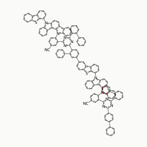 N#Cc1ccc(-n2c3ccccc3c3ccc4c(c5ccccc5n4-c4cccc5c4sc4ccc(-c6ccc(-c7nc(-c8ccccc8-c8ccccc8)nc(-c8cc(C#N)ccc8-n8c9ccccc9c9ccc%10c(c%11ccccc%11n%10-c%10cccc%11c%10sc%10ccccc%10%11)c98)n7)c(-c7ccccc7)c6)cc45)c32)c(-c2nc(-c3ccc(-c4ccccc4)cc3)nc(-c3ccccc3-c3ccccc3)n2)c1